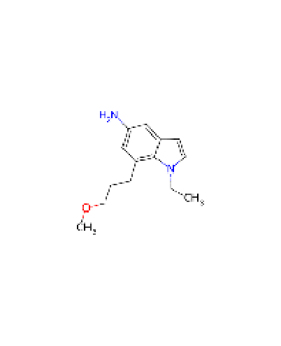 CCn1ccc2cc(N)cc(CCCOC)c21